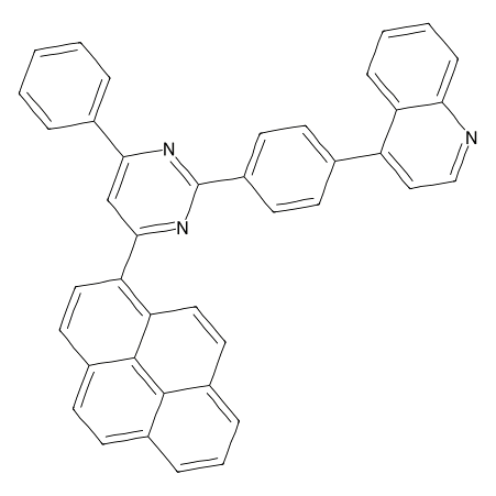 c1ccc(-c2cc(-c3ccc4ccc5cccc6ccc3c4c56)nc(-c3ccc(-c4ccnc5ccccc45)cc3)n2)cc1